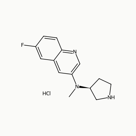 CN(c1cnc2ccc(F)cc2c1)[C@H]1CCNC1.Cl